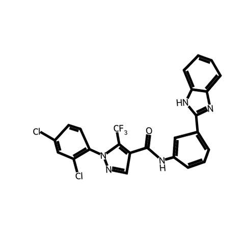 O=C(Nc1cccc(-c2nc3ccccc3[nH]2)c1)c1cnn(-c2ccc(Cl)cc2Cl)c1C(F)(F)F